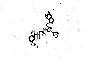 Cc1cc2c(cn1)C(O[C@H]1CN(C3CCOC3)CC1NC(=O)CNc1n[nH]c3ccc(C(F)(F)F)cc13)CC2